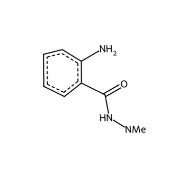 CNNC(=O)c1ccccc1N